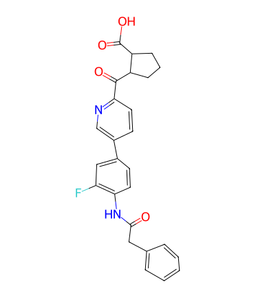 O=C(Cc1ccccc1)Nc1ccc(-c2ccc(C(=O)C3CCCC3C(=O)O)nc2)cc1F